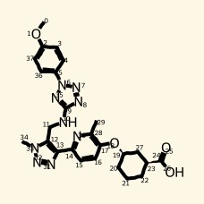 COc1ccc(-n2nnc(NCc3c(-c4ccc(O[C@H]5CCC[C@H](C(=O)O)C5)c(C)n4)nnn3C)n2)cc1